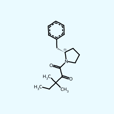 CCC(C)(C)C(=O)C(=O)N1CCC[C@H]1Cc1ccccc1